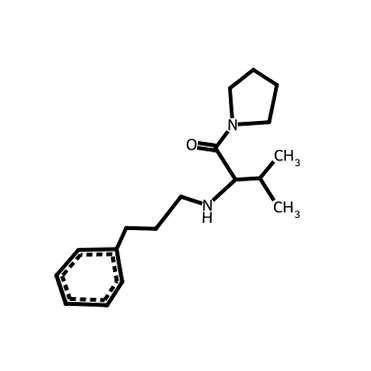 CC(C)C(NCCCc1ccccc1)C(=O)N1CCCC1